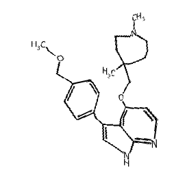 COCc1ccc(-c2c[nH]c3nccc(OCC4(C)CCN(C)CC4)c23)cc1